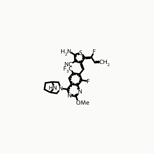 C=C/C(F)=c1/sc(N)c(C#N)/c1=C\c1c(C(F)(F)F)cc2c(N3CC4CCC(C3)N4)nc(OC)nc2c1F